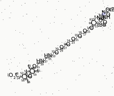 CC(C)(C)OC(=O)/N=C(/CNCc1ccc(OCCOCCOCCOCCOCCOCCOCCNCCCNCCCOc2c(I)cc(Oc3c(I)cc(CC(=O)O)cc3I)cc2I)cc1)NC(=O)OC(C)(C)C